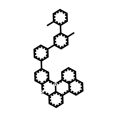 Cc1ccccc1-c1cc(-c2cccc(-c3ccc4sc5cccc6c5-n(c4c3)c3cccc4cccc6c43)c2)ccc1C